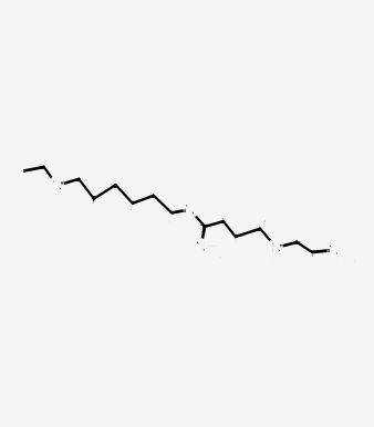 CCNCCCCCCNC(N)CCCNCCN